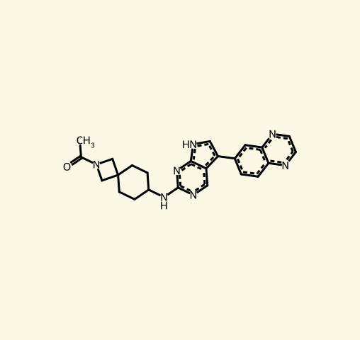 CC(=O)N1CC2(CCC(Nc3ncc4c(-c5ccc6nccnc6c5)c[nH]c4n3)CC2)C1